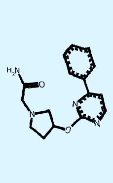 NC(=O)CN1CCC(Oc2nccc(-c3ccccc3)n2)C1